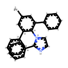 CC(C)c1cc(-c2ccccc2)c(-n2ccnc2-c2ccccc2)c(-c2ccccc2)c1